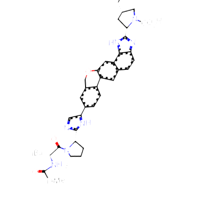 CC[C@H](C)[C@H](NC(=O)OC)C(=O)N1[C@@H](C)CC[C@H]1c1ncc(-c2ccc3c(c2)COc2cc4c(ccc5nc([C@@H]6C[C@H](COC)CN6C(=O)O)[nH]c54)cc2-3)[nH]1